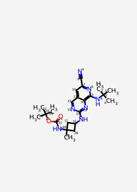 CC(C)(C)Nc1nc(C#N)cc2cnc(NC3CC(C)(NC(=O)OC(C)(C)C)C3)nc12